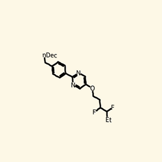 CCCCCCCCCCCc1ccc(-c2ncc(OCCC(F)C(F)CC)cn2)cc1